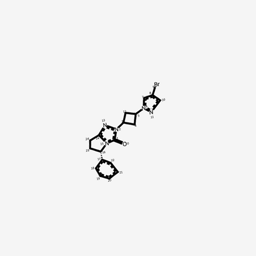 O=c1n(C2CC(n3cc(Br)cn3)C2)nc2n1[C@H](c1ccccc1)CC2